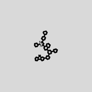 CC1(C)c2ccccc2-c2ccc(-c3cccc(-c4cc(-c5ccccc5)cc(-c5ccc(-c6cc(-c7ccc(-c8ccccc8)cc7)nc(-c7ccccc7)n6)c6ccccc56)c4)c3)cc21